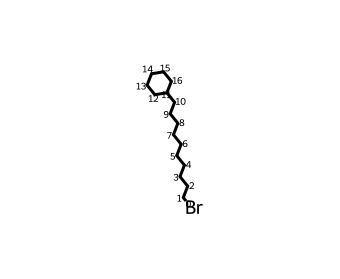 BrCCCCCCCCCCC1CCCCC1